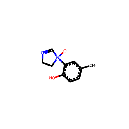 [CH]c1ccc(O)c([N+]2([O-])C=NCC2)c1